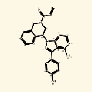 C=CC(=O)N1Cc2ccccc2C(n2nc(-c3ccc(O)cc3)c3c(N)ncnc32)C1